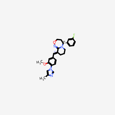 COc1cc(/C=C2\CCCN3C2=NOCC[C@@H]3c2cccc(F)c2)ccc1-n1cnc(C)c1